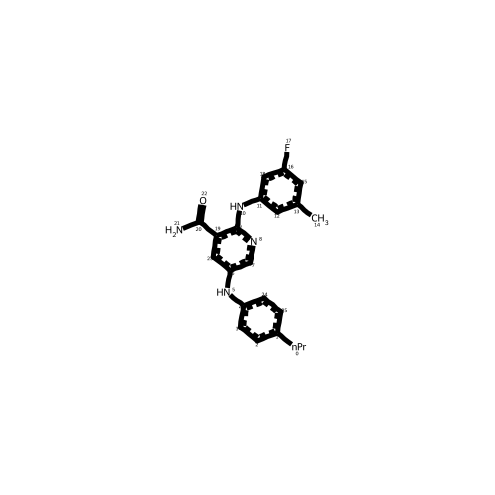 CCCc1ccc(Nc2cnc(Nc3cc(C)cc(F)c3)c(C(N)=O)c2)cc1